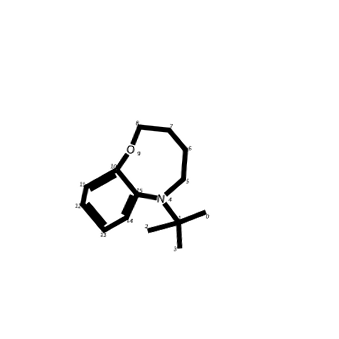 CC(C)(C)N1CCCCOc2ccccc21